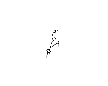 Cc1cnc2n1-c1ccc(CC3CC(N)C3)cc1Cn1cc(-c3ccc(C#N)cc3)cc1-2